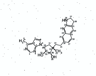 Cc1ncnc2c1ccn2[C@@H]1C[C@](C)(CCc2ccc3cc4c(nc3c2)NCC4)[C@@H](O)[C@H]1O